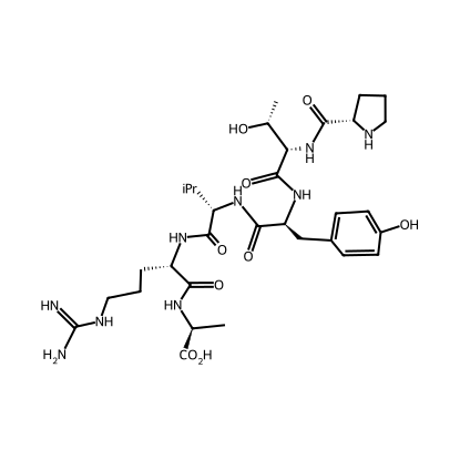 CC(C)[C@H](NC(=O)[C@H](Cc1ccc(O)cc1)NC(=O)[C@@H](NC(=O)[C@@H]1CCCN1)[C@@H](C)O)C(=O)N[C@@H](CCCNC(=N)N)C(=O)N[C@@H](C)C(=O)O